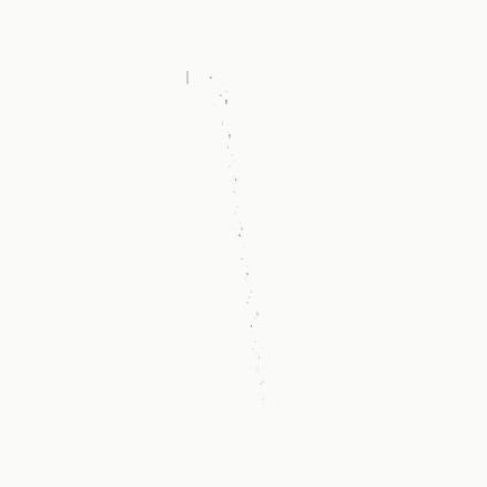 [CH2]CCCCCCCCCCCCCCCCCCCCCCCCCCOCC